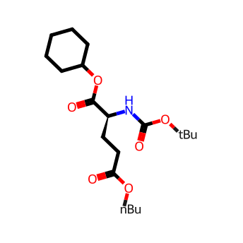 CCCCOC(=O)CC[C@H](NC(=O)OC(C)(C)C)C(=O)OC1CCCCC1